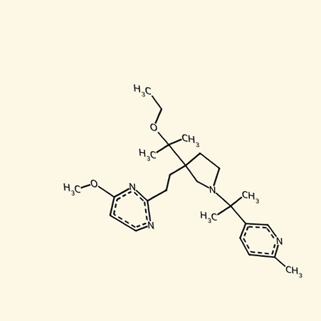 CCOC(C)(C)C1(CCc2nccc(OC)n2)CCN(C(C)(C)c2ccc(C)nc2)C1